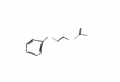 S=C(S)OCCOc1ccccc1.[NaH]